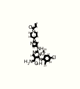 C=CC(=O)N1CCC(n2cc(Nc3ncc(C(N)=O)c(Nc4c(C)cc(Cl)cc4OC)n3)cn2)CC1